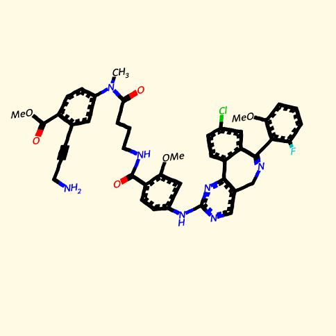 COC(=O)c1ccc(N(C)C(=O)CCCNC(=O)c2ccc(Nc3ncc4c(n3)-c3ccc(Cl)cc3C(c3c(F)cccc3OC)=NC4)cc2OC)cc1C#CCN